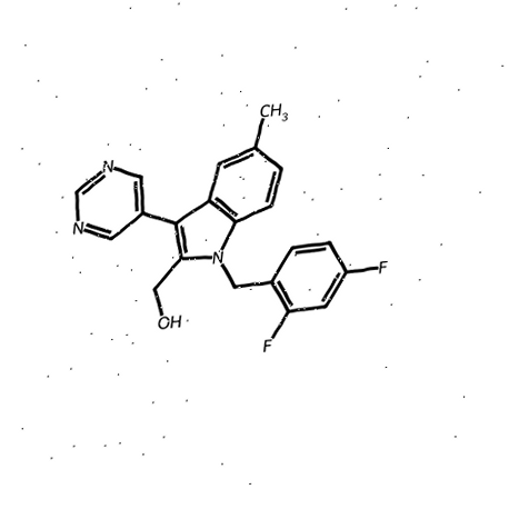 Cc1ccc2c(c1)c(-c1cncnc1)c(CO)n2Cc1ccc(F)cc1F